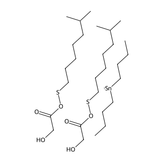 CC(C)CCCCCSOC(=O)CO.CC(C)CCCCCSOC(=O)CO.CCC[CH2][Sn][CH2]CCC